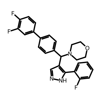 Fc1ccc(-c2ccc(C(c3cn[nH]c3-c3ccccc3F)N3CCOCC3)cc2)cc1F